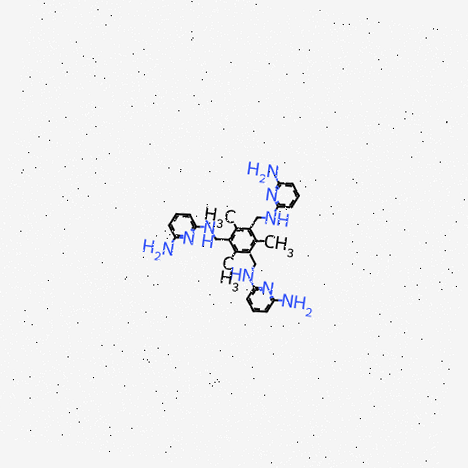 Cc1c(CNc2cccc(N)n2)c(C)c(CNc2cccc(N)n2)c(C)c1CNc1cccc(N)n1